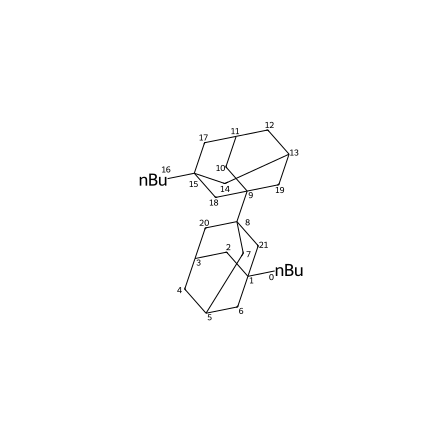 CCCCC12CC3CC(C1)CC(C14CC5CC(CC(CCCC)(C5)C1)C4)(C3)C2